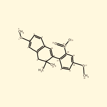 COc1ccc2c(c1)CC(C)(C)C(c1ccc(OC)cc1[N+](=O)[O-])=C2